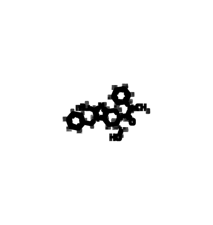 CCCCc1nc2c(n1Cc1ccccc1)C[C@@H](CO)N(C(=O)N(C)c1ccccc1)C2